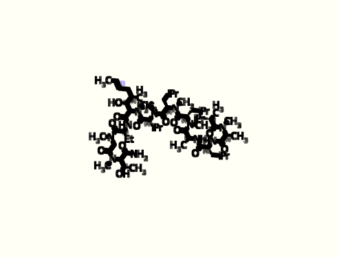 C/C=C/C[C@@H](C)[C@H](O)C(C(=O)N[C@H](CC)C(=O)N(C)CC(=O)N(C)C(C(N)=O)[C@H](C)O)N(C)C(=O)[C@@H](C(C)C)N(C)C(=O)[C@@H](CC(C)C)N(C)C(=O)[C@H](CC(C)C)N(C)C(=O)[C@H](C)NC(=O)[C@@H](CC(C)C)NC(=O)[C@H](C)N(C)C(=O)[C@@H](C)C(C)C